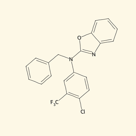 FC(F)(F)c1cc(N(Cc2ccccc2)c2nc3ccccc3o2)ccc1Cl